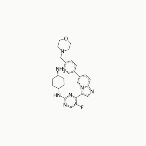 N[C@H]1CC[C@H](Nc2ncc(F)c(-c3cnc4ccc(-c5ccc(CN6CCOCC6)cc5)cn34)n2)CC1